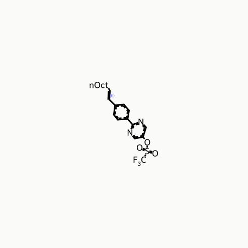 CCCCCCCC/C=C/c1ccc(-c2ncc(OS(=O)(=O)C(F)(F)F)cn2)cc1